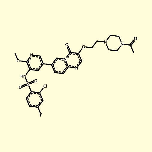 COc1ncc(-c2ccc3ncc(OCCN4CCN(C(C)=O)CC4)c(=O)n3c2)cc1NS(=O)(=O)c1ccc(F)cc1Cl